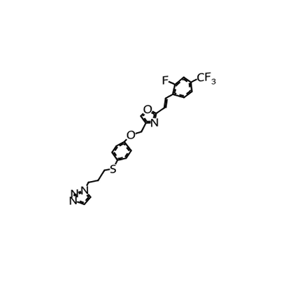 Fc1cc(C(F)(F)F)ccc1C=Cc1nc(COc2ccc(SCCCn3ccnn3)cc2)co1